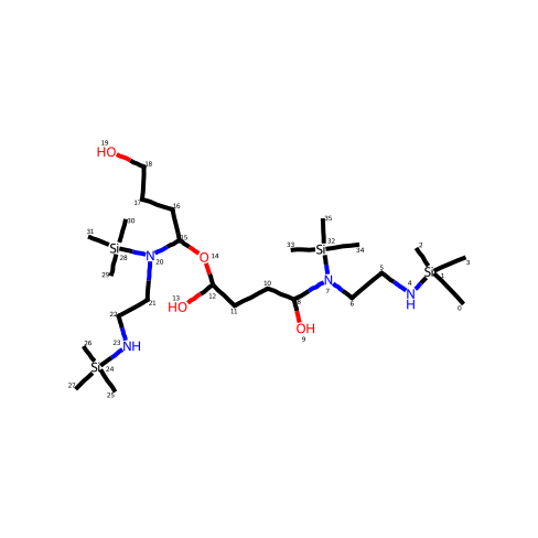 C[Si](C)(C)NCCN(C(O)CCC(O)OC(CCCO)N(CCN[Si](C)(C)C)[Si](C)(C)C)[Si](C)(C)C